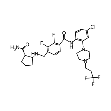 NC(=O)[C@@H]1CCC[C@H]1NCc1ccc(C(=O)Nc2ccc(Cl)cc2N2CCN(CCC(F)(F)F)CC2)c(F)c1F